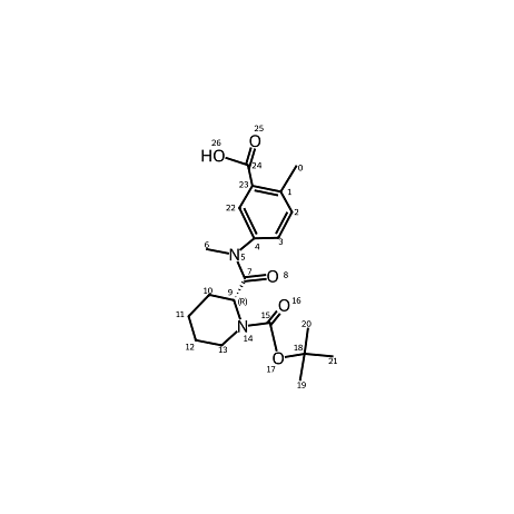 Cc1ccc(N(C)C(=O)[C@H]2CCCCN2C(=O)OC(C)(C)C)cc1C(=O)O